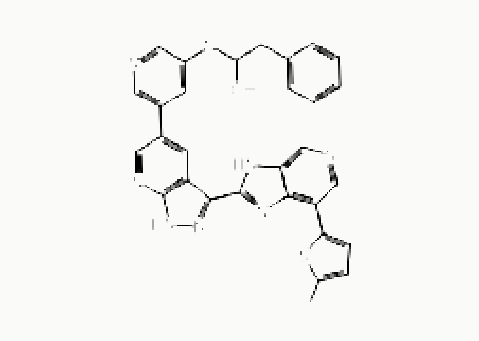 OC(Cc1ccccc1)Nc1cncc(-c2cnc3[nH]nc(-c4nc5c(-c6ccc(F)s6)cncc5[nH]4)c3c2)c1